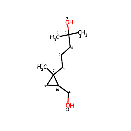 CC(C)(O)CCCC1(C)CC1CO